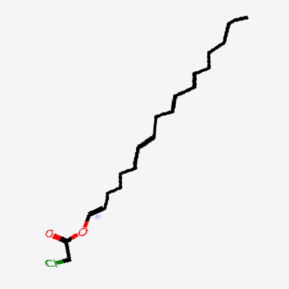 CCCCCCCCCCCCCCCC/C=C/OC(=O)CCl